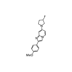 COc1ccc(-c2cn3ccc(N4CCC(F)C4)cc3n2)cc1